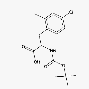 Cc1cc(Cl)ccc1CC(NC(=O)OC(C)(C)C)C(=O)O